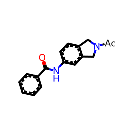 CC(=O)N1Cc2ccc(NC(=O)c3ccccc3)cc2C1